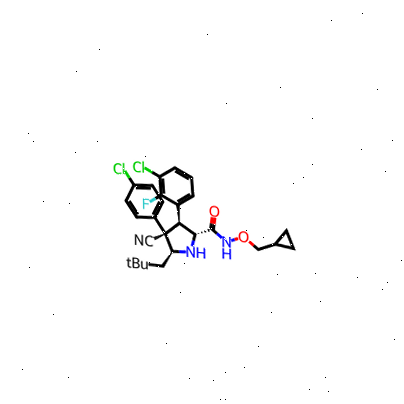 CC(C)(C)C[C@@H]1N[C@@H](C(=O)NOCC2CC2)[C@H](c2cccc(Cl)c2F)[C@@]1(C#N)c1ccc(Cl)cc1